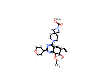 C=Cc1cc2c(N3CCC4(CC3)CN(C(=O)OC(C)(C)C)C4)nc(C3CCOCC3)nc2c(OCC(F)(F)F)c1Br